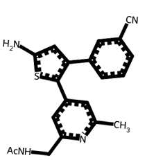 CC(=O)NCc1cc(-c2sc(N)cc2-c2cccc(C#N)c2)cc(C)n1